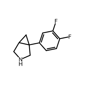 Fc1ccc(C23CNCC2C3)cc1F